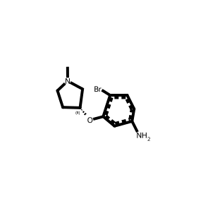 CN1CC[C@@H](Oc2cc(N)ccc2Br)C1